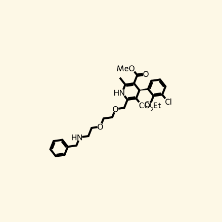 CCOC(=O)C1=C(COCCOCCNCc2ccccc2)NC(C)=C(C(=O)OC)[C@H]1c1cccc(Cl)c1Cl